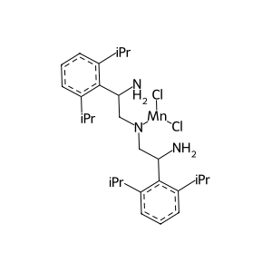 CC(C)c1cccc(C(C)C)c1C(N)C[N](CC(N)c1c(C(C)C)cccc1C(C)C)[Mn]([Cl])[Cl]